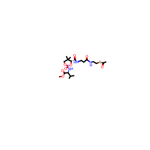 COC(=O)[C@@H](NP1(=O)OCC(C)(C)[C@H](C(=O)NCCC(=O)NCCSC(C)=O)O1)C(C)C